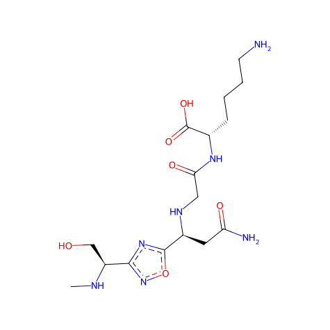 CN[C@@H](CO)c1noc([C@H](CC(N)=O)NCC(=O)N[C@@H](CCCCN)C(=O)O)n1